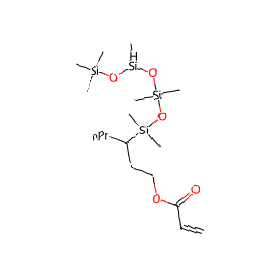 C=CC(=O)OCCC(CCC)[Si](C)(C)O[Si](C)(C)O[SiH](C)O[Si](C)(C)C